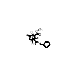 CC(C)(C)OC(=O)N1[C@H](C(=O)OCc2ccccc2)[C@@H]2CC[C@H]1C(=O)C2